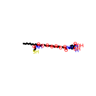 CCCCCCCCCCC(NC(=O)CCS)OCCOCCOCCOCCOCCOCCOC(=O)NCc1ccc(C(=O)NO)c(O)c1